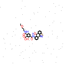 CCOCCCNC(=O)c1ccc(C(=O)Nc2cccc3c2C(=O)c2cccc4snc-3c24)cc1C(=O)O